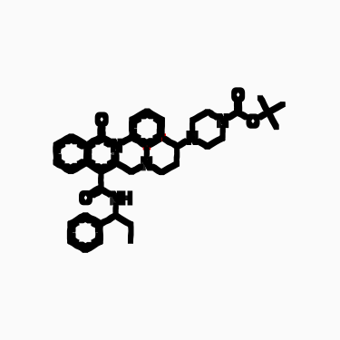 CCC(NC(=O)c1c(CN2CCC(N3CCN(C(=O)OC(C)(C)C)CC3)CC2)n(-c2ccccc2)c(=O)c2ccccc12)c1ccccc1